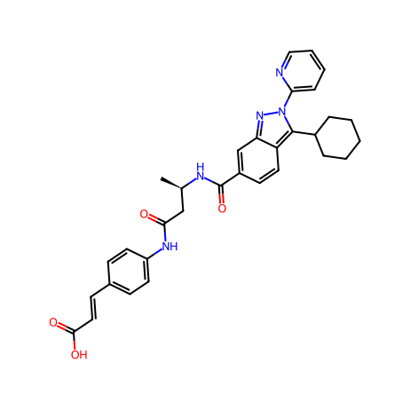 C[C@H](CC(=O)Nc1ccc(/C=C/C(=O)O)cc1)NC(=O)c1ccc2c(C3CCCCC3)n(-c3ccccn3)nc2c1